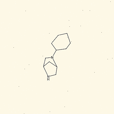 C1CCC(N2CC3CC2CN3)CC1